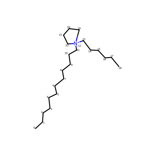 CCCCCCCCCCCC[N+]1(CCCCCC)CCCC1